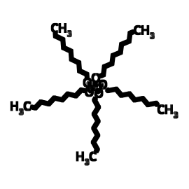 CCCCCCCCC[O][Nb]([O]CCCCCCCCC)([O]CCCCCCCCC)([O]CCCCCCCCC)[O]CCCCCCCCC